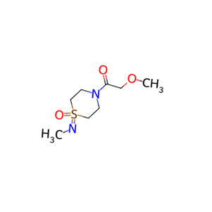 CN=S1(=O)CCN(C(=O)COC)CC1